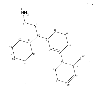 NCCC(C1C=C(C2CCC=CC2I)CCC1)C1CCCCC1